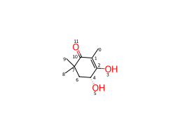 CC1=C(O)[C@H](O)CC(C)(C)C1=O